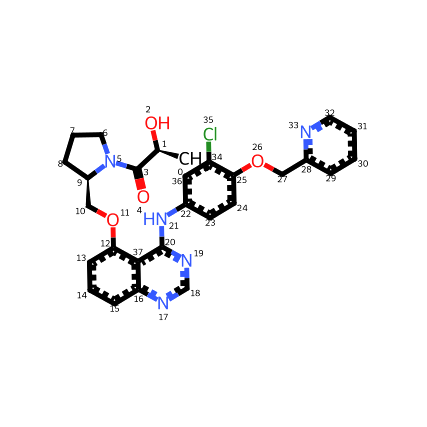 C[C@H](O)C(=O)N1CCC[C@@H]1COc1cccc2ncnc(Nc3ccc(OCc4ccccn4)c(Cl)c3)c12